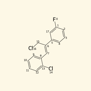 Fc1cccc(/C(=C/c2ccccc2Cl)CCl)c1